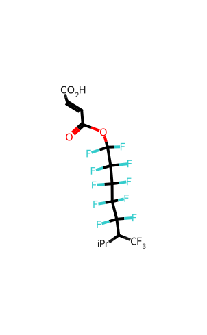 CC(C)C(C(F)(F)F)C(F)(F)C(F)(F)C(F)(F)C(F)(F)C(F)(F)OC(=O)C=CC(=O)O